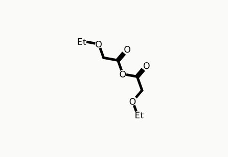 CCOCC(=O)OC(=O)COCC